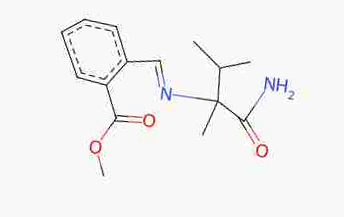 COC(=O)c1ccccc1C=NC(C)(C(N)=O)C(C)C